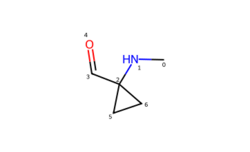 CNC1(C=O)CC1